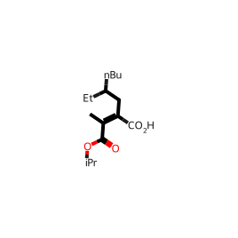 CCCCC(CC)CC(C(=O)O)=C(C)C(=O)OC(C)C